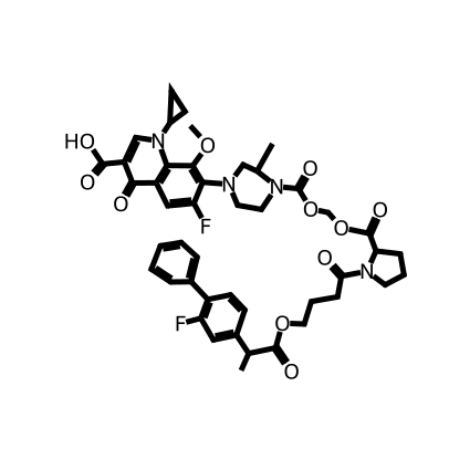 COc1c(N2CCN(C(=O)OCOC(=O)C3CCCN3C(=O)CCCOC(=O)C(C)c3ccc(-c4ccccc4)c(F)c3)C(C)C2)c(F)cc2c(=O)c(C(=O)O)cn(C3CC3)c12